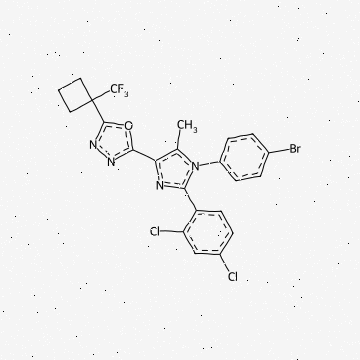 Cc1c(-c2nnc(C3(C(F)(F)F)CCC3)o2)nc(-c2ccc(Cl)cc2Cl)n1-c1ccc(Br)cc1